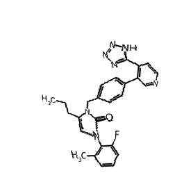 CCCc1cn(-c2c(C)cccc2F)c(=O)n1Cc1ccc(-c2cnccc2-c2nnn[nH]2)cc1